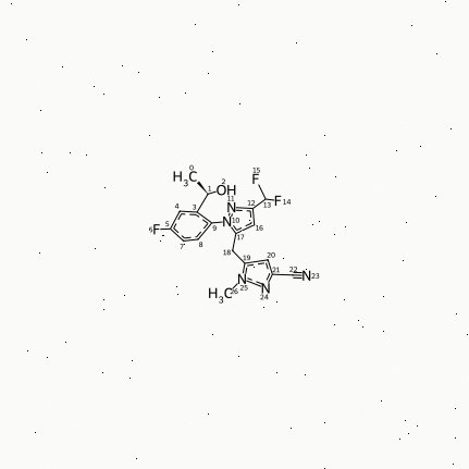 C[C@@H](O)c1cc(F)ccc1-n1nc(C(F)F)cc1Cc1cc(C#N)nn1C